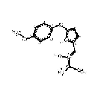 COc1ccc(Sc2ccc(C=[N+]([O-])C(C)C)o2)cc1